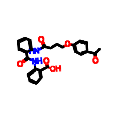 CC(=O)c1ccc(OCCCC(=O)Nc2ccccc2C(=O)Nc2ccccc2C(=O)O)cc1